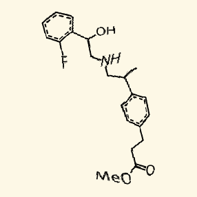 COC(=O)CCc1ccc(C(C)CNCC(O)c2ccccc2F)cc1